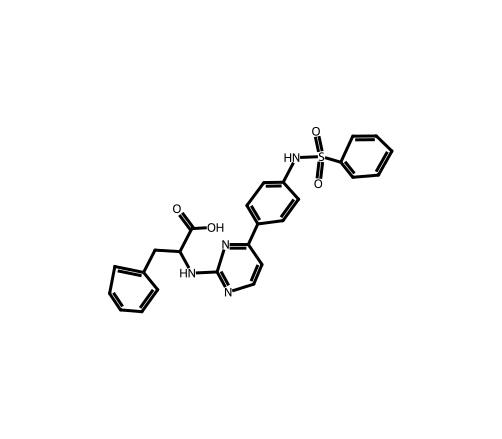 O=C(O)C(Cc1ccccc1)Nc1nccc(-c2ccc(NS(=O)(=O)c3ccccc3)cc2)n1